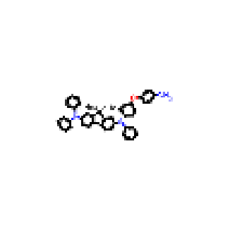 CCCCCCC1(CCCCCC)c2cc(N(c3ccccc3)c3ccccc3)ccc2-c2ccc(N(c3ccccc3)c3ccc(Oc4ccc(N)cc4)cc3)cc21